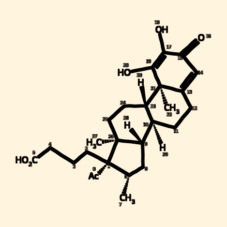 CC(=O)[C@@]1(CCCC(=O)O)[C@@H](C)C[C@H]2[C@@H]3CCC4=CC(=O)C(O)=C(O)[C@]4(C)[C@H]3CC[C@@]21C